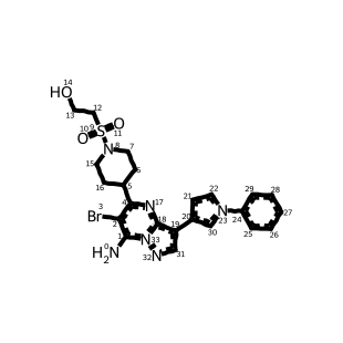 Nc1c(Br)c(C2CCN(S(=O)(=O)CCO)CC2)nc2c(-c3ccn(-c4ccccc4)c3)cnn12